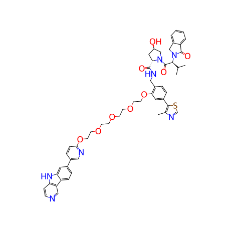 Cc1ncsc1-c1ccc(CNC(=O)[C@@H]2C[C@@H](O)CN2C(=O)[C@H](C(C)C)N2Cc3ccccc3C2=O)c(OCCOCCOCCOCCOc2ccc(-c3ccc4c(c3)[nH]c3ccncc34)cn2)c1